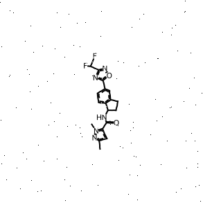 Cc1cc(C(=O)NC2CCc3cc(-c4nc(C(F)F)no4)ccc32)n(C)n1